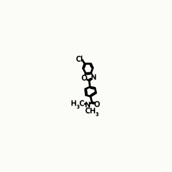 CN(C)C(=O)c1ccc(-c2nc3ccc(Cl)cc3o2)cc1